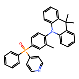 Cc1cc(P(=O)(c2ccccc2)c2ccncc2)ccc1N1c2ccccc2C(C)(C)c2ccccc21